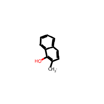 [CH2]c1ccc2ccccc2c1O